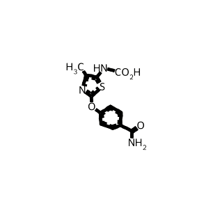 Cc1nc(Oc2ccc(C(N)=O)cc2)sc1NC(=O)O